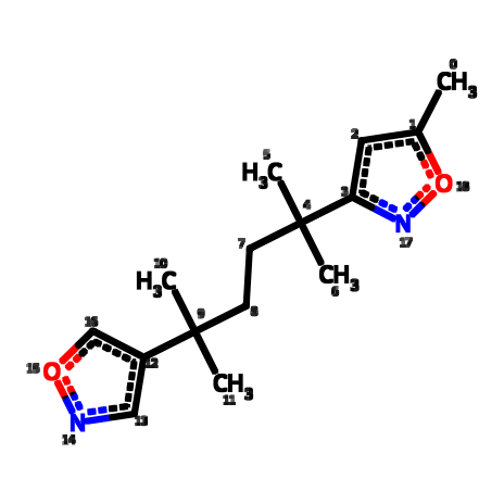 Cc1cc(C(C)(C)CCC(C)(C)c2cnoc2)no1